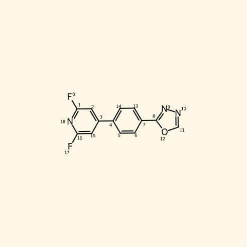 Fc1cc(-c2ccc(-c3nnco3)cc2)cc(F)n1